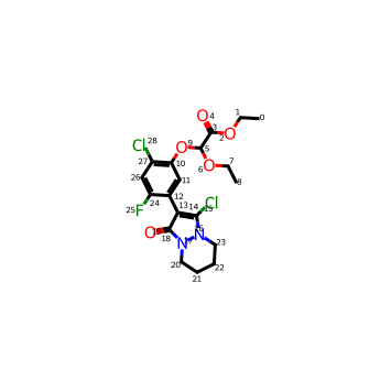 CCOC(=O)C(OCC)Oc1cc(-c2c(Cl)n3n(c2=O)CCCC3)c(F)cc1Cl